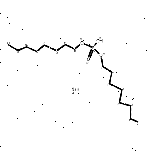 CCCCCCCCOP(=O)(O)OCCCCCCCC.[NaH]